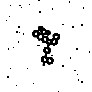 CC1C=CC(c2ccc(-n3c4cc5c(cc4c4c6ccccc6ccc43)C3(c4ccccc4S5)c4ccccc4-c4ccccc43)cc2)=C2C=CC=CC21